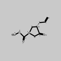 C=CC[C@H]1CN(C(=O)OC(C)(C)C)CC1=O